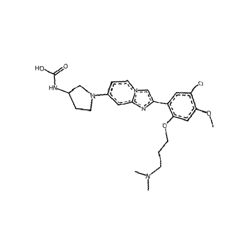 COc1cc(OCCCN(C)C)c(-c2cn3ccc(N4CCC(NC(=O)O)C4)cc3n2)cc1Cl